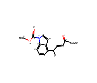 COC(=O)C=CC(C)c1cccc2c1ccn2C(=O)OC(C)(C)C